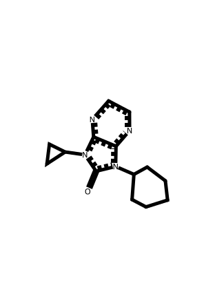 O=c1n(C2CCCCC2)c2nccnc2n1C1CC1